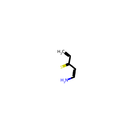 C=CC(=S)/C=C\N